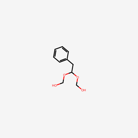 OCOC(Cc1ccccc1)OCO